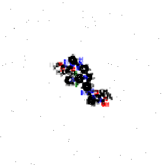 COC(=O)N[C@H](C(=O)N1C2CCC(C2)[C@H]1c1nc2cc([C@H]3CC[C@H](c4ccc5[nH]c([C@@H]6C7CCC(C7)N6C(=O)[C@H](C(C)C)N(C)C(=O)O)nc5c4)N3c3cc(F)c(N4CCCCC4)c(F)c3)ccc2[nH]1)C(C)C